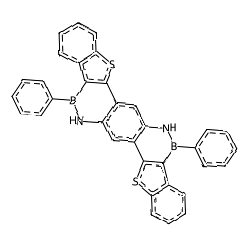 c1ccc(B2Nc3cc4c(cc3-c3sc5ccccc5c32)NB(c2ccccc2)c2c-4sc3ccccc23)cc1